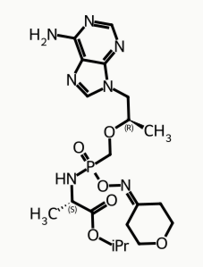 CC(C)OC(=O)[C@H](C)NP(=O)(CO[C@H](C)Cn1cnc2c(N)ncnc21)ON=C1CCOCC1